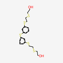 OCCSCCSc1cccc(Sc2cccc(SCCSCCO)c2)c1